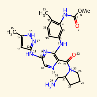 COC(=O)Nc1cc(Nc2nc(Nc3cc(C)[nH]n3)cnc2C(=O)N2CCCC2CN)ccc1C